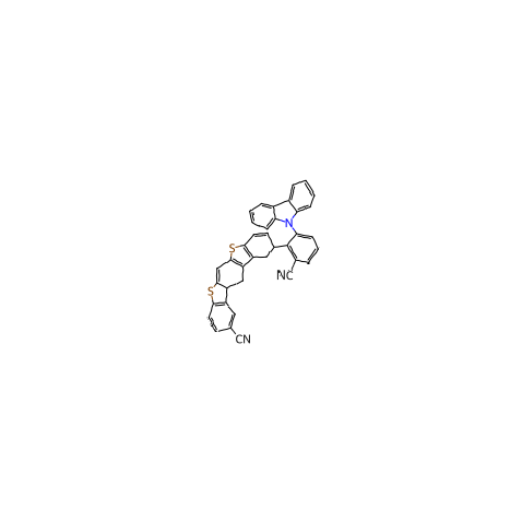 N#Cc1ccc2c(c1)C1Cc3c(sc4c3CC(c3c(C#N)cccc3-n3c5ccccc5c5ccccc53)C=C4)C=C1S2